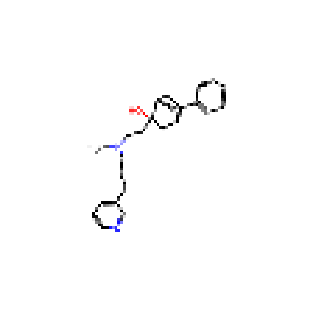 CN(CCCc1cccnc1)CCC1(O)CC2CCC1C=C2c1ccccc1